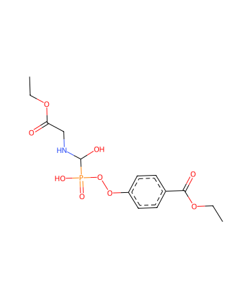 CCOC(=O)CNC(O)P(=O)(O)OOc1ccc(C(=O)OCC)cc1